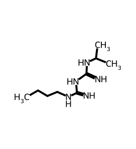 CCCCNC(=N)NC(=N)NC(C)C